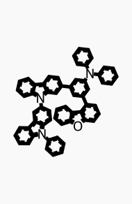 c1ccc(N(c2ccccc2)c2cc(-c3ccc4c5ccccc5n(-c5ccc6c(c5)c5ccccc5n6-c5ccccc5)c4c3)cc(-c3cccc4oc5ccccc5c34)c2)cc1